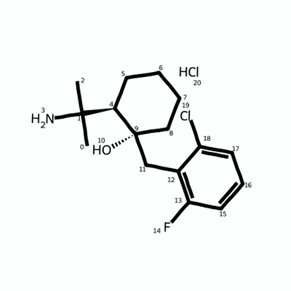 CC(C)(N)[C@H]1CCCC[C@@]1(O)Cc1c(F)cccc1Cl.Cl